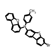 Cc1ccc(N(c2ccc3c(c2)sc2cc(Br)ccc23)c2cccc3c2oc2ccccc23)cc1